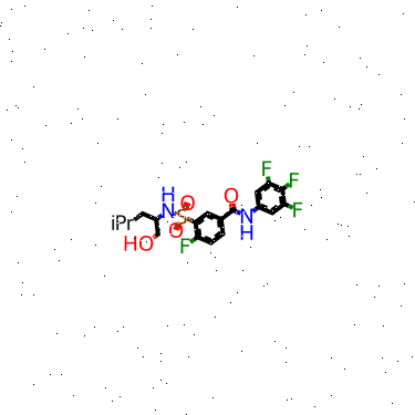 CC(C)CC(CO)NS(=O)(=O)c1cc(C(=O)Nc2cc(F)c(F)c(F)c2)ccc1F